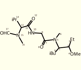 CCC(C)C(C(CC)OC)N(C)C(=O)CNC(=O)C(C(C)C)N(C)C=O